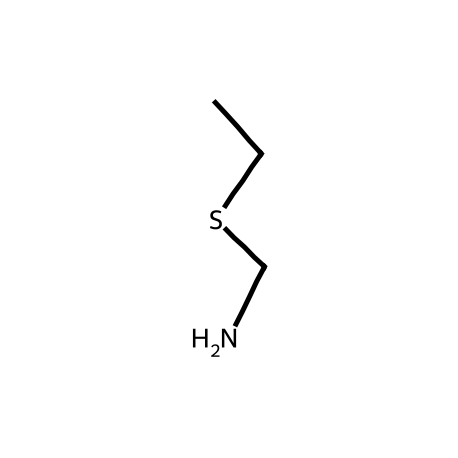 CCSCN